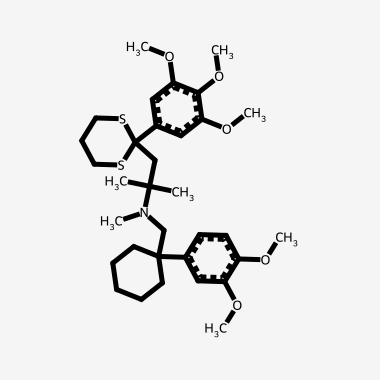 COc1ccc(C2(CN(C)C(C)(C)CC3(c4cc(OC)c(OC)c(OC)c4)SCCCS3)CCCCC2)cc1OC